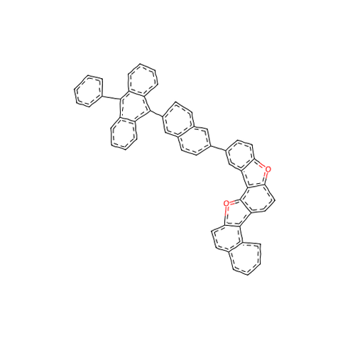 c1ccc(-c2c3ccccc3c(-c3ccc4cc(-c5ccc6oc7ccc8c(oc9ccc%10ccccc%10c98)c7c6c5)ccc4c3)c3ccccc23)cc1